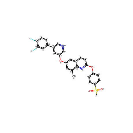 CS(=O)(=O)c1ccc(Oc2ccc3cc(Oc4cncc(-c5ccc(F)c(F)c5)c4)cc(C#N)c3n2)cc1